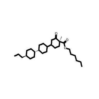 CCCCCCOC(=O)[C@@]1(C)CCC(C2CCC([C@H]3CC[C@H](CCC)CC3)CC2)CC1=O